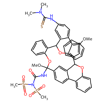 COc1cccc(C2Oc3ccccc3-c3ccc(C(NC(=O)N(S(C)(=O)=O)S(C)(=O)=O)(OC)Oc4ccccc4C4Oc5ccccc5-c5ccc(NC(=S)N(C)C)cc54)cc32)c1